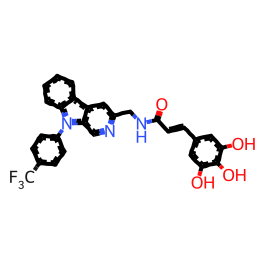 O=C(/C=C/c1cc(O)c(O)c(O)c1)NCc1cc2c3ccccc3n(-c3ccc(C(F)(F)F)cc3)c2cn1